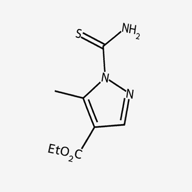 CCOC(=O)c1cnn(C(N)=S)c1C